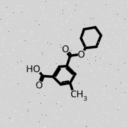 Cc1cc(C(=O)O)cc(C(=O)OC2CCCCC2)c1